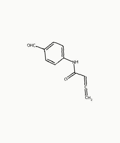 C=C=CC(=O)Nc1ccc(C=O)cc1